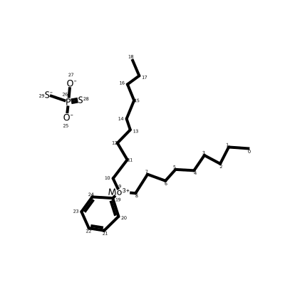 CCCCCCCC[CH2][Mo+3]([CH2]CCCCCCCC)[c]1ccccc1.[O-]P([O-])(=S)[S-]